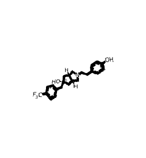 Oc1ccc(CCN2C[C@@H]3C[C@@](O)(Cc4ccc(C(F)(F)F)cc4)C[C@@H]3C2)cc1